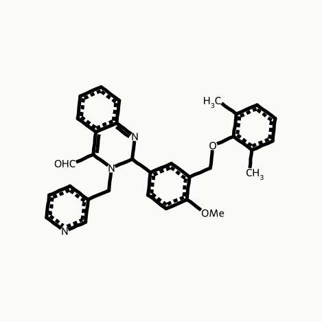 COc1ccc(C2N=c3ccccc3=C(C=O)N2Cc2cccnc2)cc1COc1c(C)cccc1C